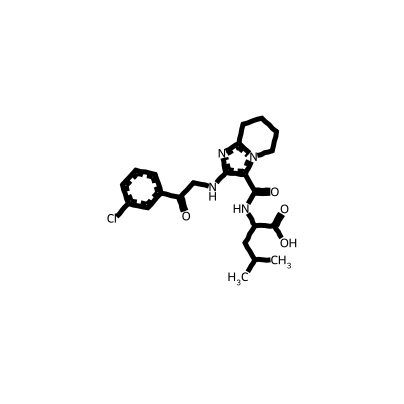 CC(C)CC(NC(=O)c1c(NCC(=O)c2cccc(Cl)c2)nc2n1CCCC2)C(=O)O